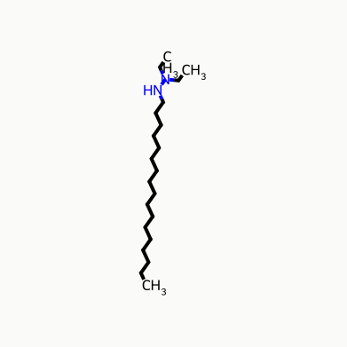 CCCCCCCCCCCCCCCCCNN(CC)CC